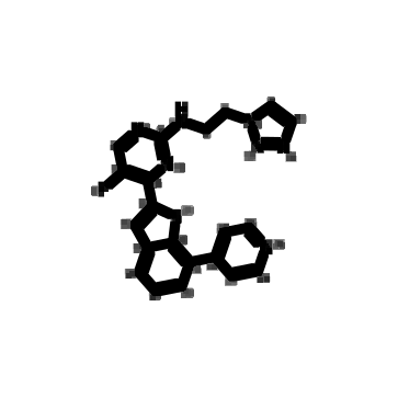 Fc1cnc(NCCn2ccnn2)nc1-c1cc2cccc(-c3ccncc3)c2s1